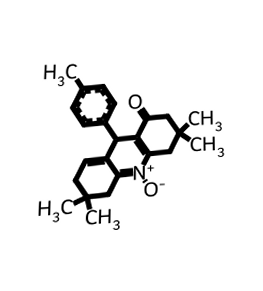 Cc1ccc(C2C3=CCC(C)(C)CC3=[N+]([O-])C3=C2C(=O)CC(C)(C)C3)cc1